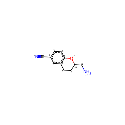 N#Cc1ccc2c(c1)CCC(CN)O2